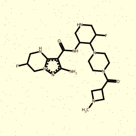 CN1CC(C(=O)N2CCN(C3C(F)CNCC3NC(=O)c3c(N)nn4c3NCC(F)C4)CC2)C1